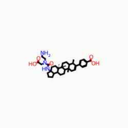 CC1C(c2ccc(C(=O)O)cc2)=CCC2(C)C1CC[C@]1(C)C2CCC2C3CCCC3(NC(=O)N(CCN)CC(=O)O)CC[C@]21C